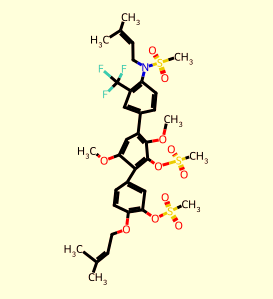 COc1cc(-c2ccc(N(CC=C(C)C)S(C)(=O)=O)c(C(F)(F)F)c2)c(OC)c(OS(C)(=O)=O)c1-c1ccc(OCC=C(C)C)c(OS(C)(=O)=O)c1